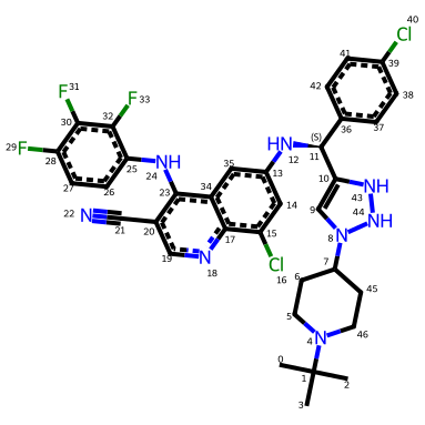 CC(C)(C)N1CCC(N2C=C([C@@H](Nc3cc(Cl)c4ncc(C#N)c(Nc5ccc(F)c(F)c5F)c4c3)c3ccc(Cl)cc3)NN2)CC1